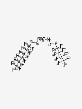 FC(F)(F)C(F)(F)C(F)(F)C(F)(F)CCN=C=NCCC(F)(F)C(F)(F)C(F)(F)C(F)(F)C(F)(F)C(F)(F)F